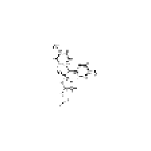 COCC(O)CS(=O)(=O)C(c1ccc(Cl)cc1)c1ccc(Cl)cc1